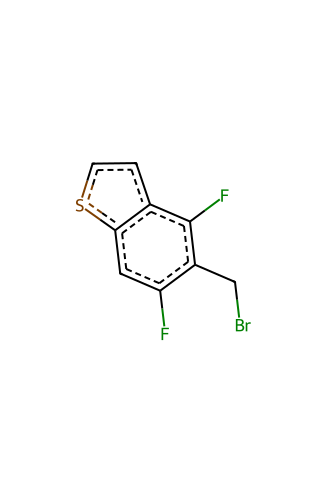 Fc1cc2sccc2c(F)c1CBr